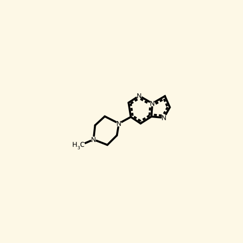 CN1CCN(c2cnn3ccnc3c2)CC1